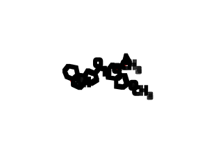 COc1ccc(CN(CCC2CC2)C(=O)c2ccc3c(c2)C24CCCCC2C(C3)NCC4)c(OC)c1